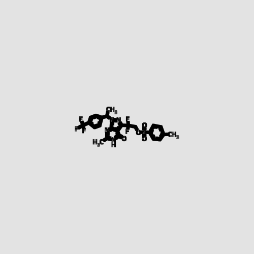 Cc1ccc(S(=O)(=O)OCC(F)(F)c2nn(C(C)c3ccc(C(F)(F)F)cc3)c3nc(C)[nH]c(=O)c23)cc1